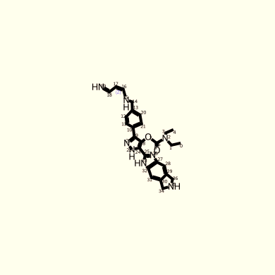 CCN(CC)C(=O)Oc1c(-c2ccc(CN/C=C\C=N)cc2)n[nH]c1-c1nc2cc3c(cc2[nH]1)CNC3